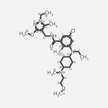 CCN(c1cc(Cl)cc(C(=O)NCc2c(OC)nn(CC)c2C)c1C)C1CCC(N(C)CCOC)CC1